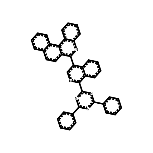 c1ccc(-c2nc(-c3ccccc3)nc(-c3ncc(-c4nc5ccccc5c5c4ccc4ccccc45)c4ccccc34)n2)cc1